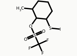 CC1CCCC(SI)C1OS(=O)(=O)C(F)(F)F